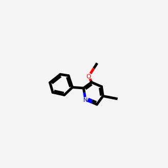 COc1cc(C)cnc1-c1ccccc1